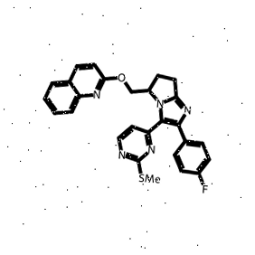 CSc1nccc(-c2c(-c3ccc(F)cc3)nc3n2C(COc2ccc4ccccc4n2)CC3)n1